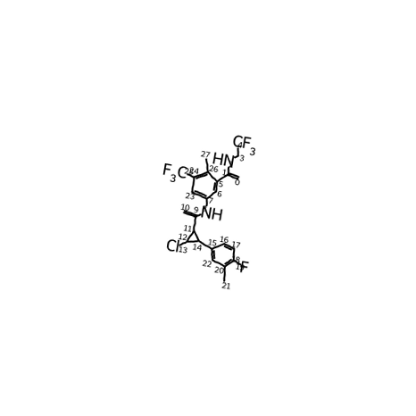 C=C(NCC(F)(F)F)c1cc(NC(=C)C2C(Cl)C2c2ccc(F)c(C)c2)cc(C(F)(F)F)c1C